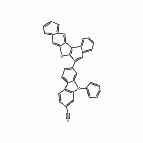 N#Cc1ccc2c3ccc(-c4cc5ccccc5c5c4oc4cc6ccccc6cc45)cc3n(-c3ccccc3)c2c1